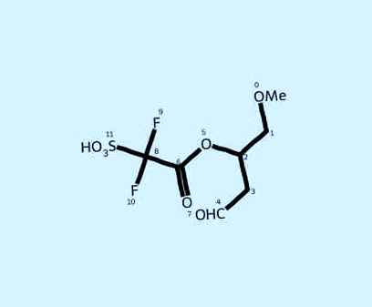 COCC(CC=O)OC(=O)C(F)(F)S(=O)(=O)O